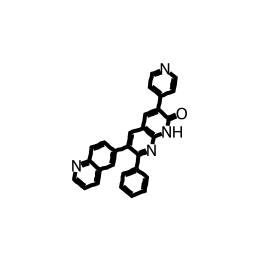 O=c1[nH]c2nc(-c3ccccc3)c(-c3ccc4ncccc4c3)cc2cc1-c1ccncc1